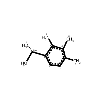 Cc1ccc([C@@H](C)O)c(N)c1C